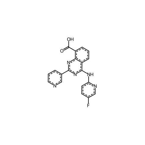 O=C(O)c1cccc2c(Nc3ccc(F)cn3)nc(-c3cccnc3)nc12